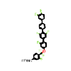 CCCCCc1ccc(C(F)(F)Oc2ccc(-c3cc(F)c(-c4ccc(-c5ccc(F)c(F)c5)cc4)c(F)c3)c(F)c2)c(F)c1